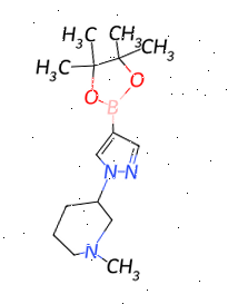 CN1CCCC(n2cc(B3OC(C)(C)C(C)(C)O3)cn2)C1